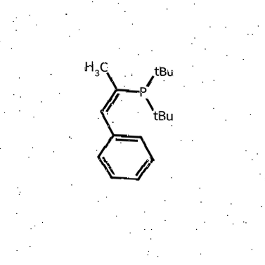 CC(=Cc1ccccc1)P(C(C)(C)C)C(C)(C)C